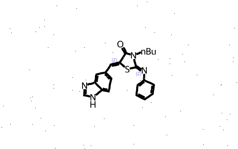 CCCCN1C(=O)/C(=C/c2ccc3[nH]cnc3c2)S/C1=N\c1ccccc1